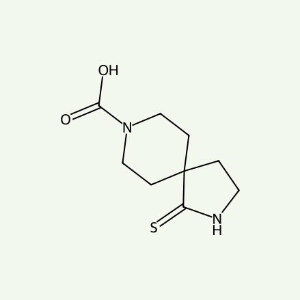 O=C(O)N1CCC2(CCNC2=S)CC1